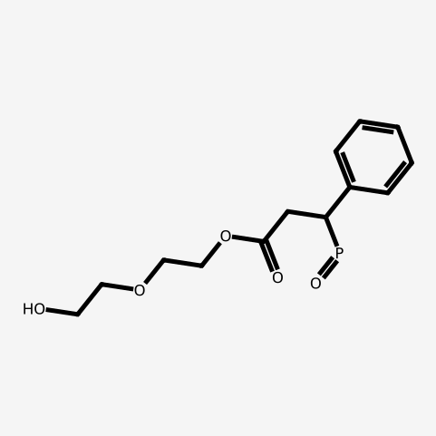 O=PC(CC(=O)OCCOCCO)c1ccccc1